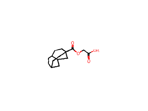 O=C(O)COC(=O)C12CCC3CCC(CC3C1)C2